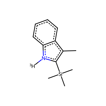 [3H]n1c([Si](C)(C)C)c(C)c2ccccc21